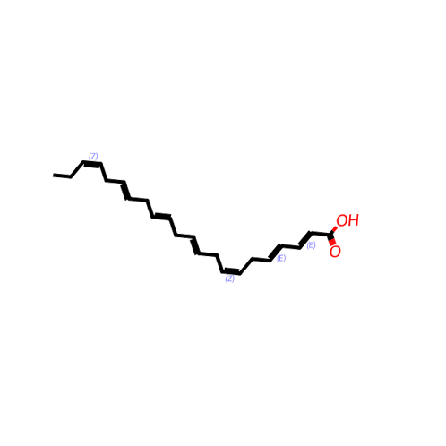 CC/C=C\CC=CCC=CCC=CC/C=C\C/C=C/C=C/C(=O)O